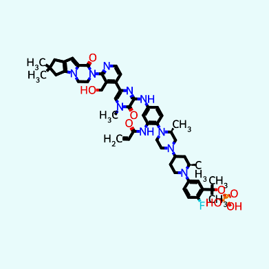 C=CC(=O)Nc1cc(Nc2nc(-c3ccnc(N4CCn5c(cc6c5CC(C)(C)C6)C4=O)c3CO)cn(C)c2=O)ccc1N1CCN(C2CCN(c3ccc(F)c(C(C)(C)OP(=O)(O)O)c3)[C@H](C)C2)C[C@@H]1C